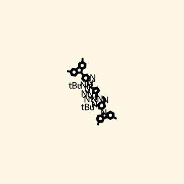 Cc1ccc2c(c1)-c1cc(C)ccc1C2c1cc(NC(C)(C)C)c2c(c1)ncn2-c1nc2ncnc3nc(-n4cnc5cc(-n6c7ccc(C)cc7c7cc(C)ccc76)cc(NC(C)(C)C)c54)c4ccc1c4n23